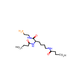 O=C(O)CCC(=O)NCCCCC(NC(=O)CCC(=O)O)C(=O)NCCP